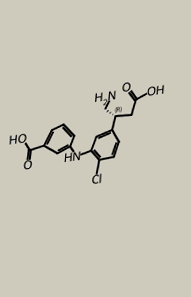 NC[C@H](CC(=O)O)c1ccc(Cl)c(Nc2cccc(C(=O)O)c2)c1